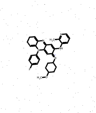 COC1CCC(/N=c2\cc3n(-c4ccc(F)cc4)c4c(nc-3cc2Nc2cccnc2C)=CCCC=4)CC1